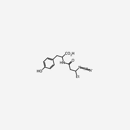 CCC(CC(=O)NC(Cc1ccc(O)cc1)C(=O)O)N=[N+]=[N-]